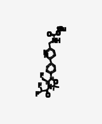 CC(C)(C)OC(=O)NCc1ccc(-c2ccc([C@H]3OC(C)(C)N(C(=O)C(F)F)[C@H]3CF)cc2)nn1